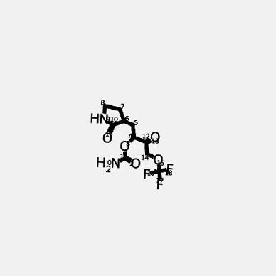 NC(=O)OC(CC1CCNC1=O)C(=O)COC(F)(F)F